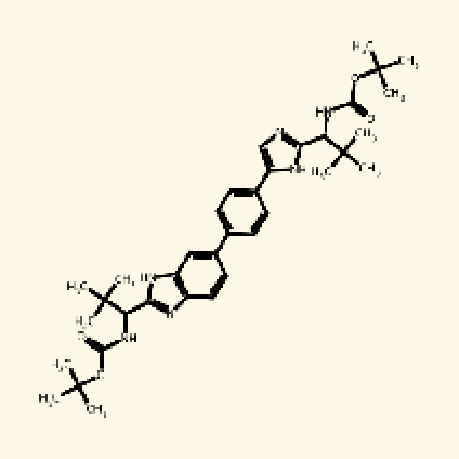 CC(C)(C)OC(=O)NC(c1nc2ccc(-c3ccc(-c4cnc([C@@H](NC(=O)OC(C)(C)C)C(C)(C)C)[nH]4)cc3)cc2[nH]1)C(C)(C)C